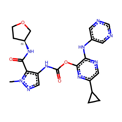 Cn1ncc(NC(=O)Oc2nc(C3CC3)cnc2Nc2cncnc2)c1C(=O)N[C@H]1CCOC1